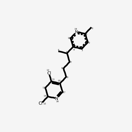 Cc1ccc(C(C)CCCC2=C(Cl)CC(Cl)N=C2)cn1